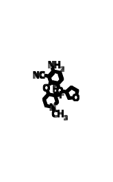 CN1CCC(Oc2c(OC3CCOC3)ccc(N)c2C#N)C(F)(F)C1